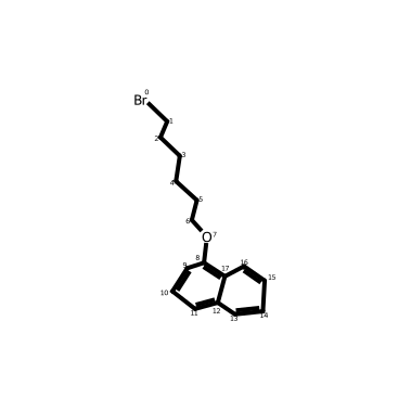 BrCCCCCCOc1cccc2ccc[c]c12